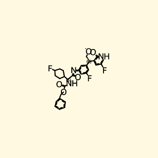 COC[C@H](c1cc(F)c2oc([C@@H](NC(=O)OCc3ccccc3)C3CCC(F)CC3)nc2c1)c1cc(F)c[nH]c1=O